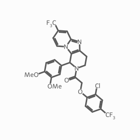 COc1ccc(C2c3c(nc4cc(C(F)(F)F)ccn34)CCN2C(=O)COc2ccc(C(F)(F)F)cc2Cl)cc1OC